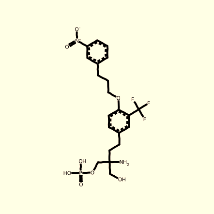 NC(CO)(CCc1ccc(OCCCc2cccc([N+](=O)[O-])c2)c(C(F)(F)F)c1)COP(=O)(O)O